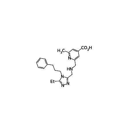 CCc1nnc(CNCc2cc(C(=O)O)cc(C)n2)n1CCCc1ccccc1